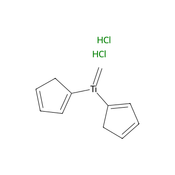 Cl.Cl.[CH2]=[Ti]([C]1=CC=CC1)[C]1=CC=CC1